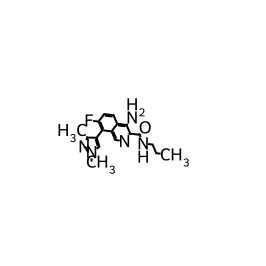 CCCNC(=O)c1ncc2c(-c3cn(C)nc3C)c(F)ccc2c1N